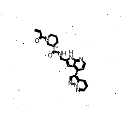 C=CC(=O)N1CCC[C@H](C(=O)NCc2cc3c(-c4cnn5ncccc45)ccnc3[nH]2)C1